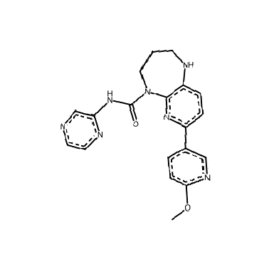 COc1ccc(-c2ccc3c(n2)N(C(=O)Nc2cnccn2)CCCN3)cn1